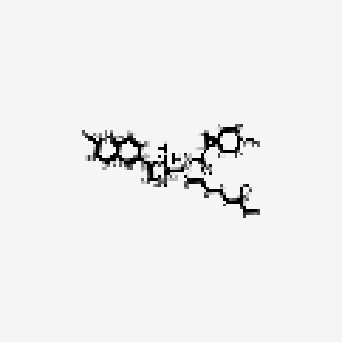 CCC(=O)CCCCC[C@H](NC(=O)[C@H]1CC12CCN(C)CC2)c1ncc(-c2ccc3nc(C)ccc3c2)[nH]1